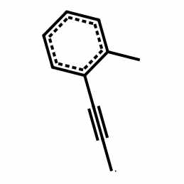 [CH2]C#Cc1ccccc1C